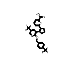 O=C(O)c1cccc(C2=C(c3cc(C(F)(F)F)cnc3OCc3ccc(C(F)(F)F)cc3)CCC2)n1